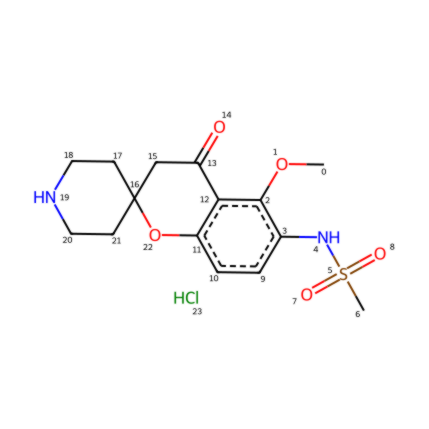 COc1c(NS(C)(=O)=O)ccc2c1C(=O)CC1(CCNCC1)O2.Cl